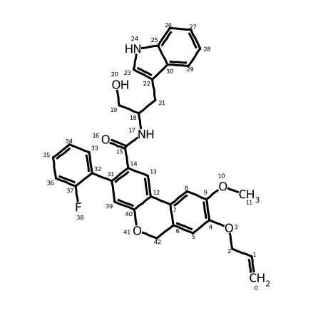 C=CCOc1cc2c(cc1OC)-c1cc(C(=O)NC(CO)Cc3c[nH]c4ccccc34)c(-c3ccccc3F)cc1OC2